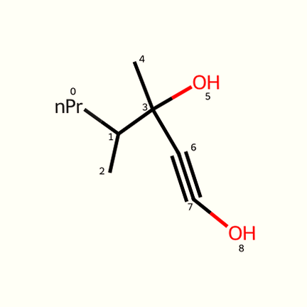 CCCC(C)C(C)(O)C#CO